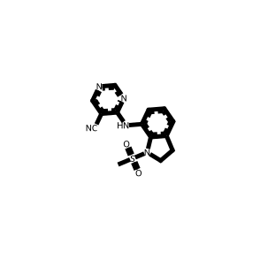 CS(=O)(=O)N1CCc2cccc(Nc3ncncc3C#N)c21